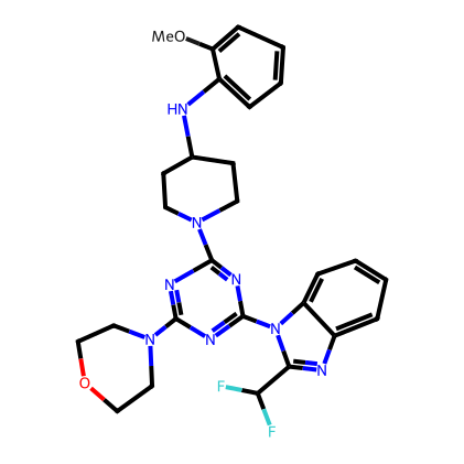 COc1ccccc1NC1CCN(c2nc(N3CCOCC3)nc(-n3c(C(F)F)nc4ccccc43)n2)CC1